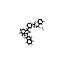 C[C@H](NC(=O)C1CCCC(C2=C3C=NC=C[N+]3(N)C(c3cc4ccccc4[nH]3)=N2)C1)c1ccccc1